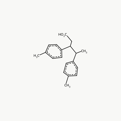 Cc1ccc(C(C)C(CC(=O)O)c2ccc(C)cc2)cc1